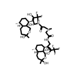 C[C@@H]1CC[C@@H](/C(CNC(=O)CN(C)CC(=O)NC/C(=C(/O)C(F)(F)F)[C@@H]2CC[C@@H](C)[C@@H]3CCC(C)(O)OC[C@]23O)=C(\O)C(F)(F)F)[C@@]2(O)COC(C)(O)CC[C@@H]12